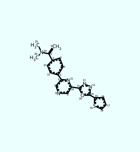 C=C(c1ccc(-c2cncc(-c3nnc(-c4cccs4)o3)n2)cc1)N(C)C